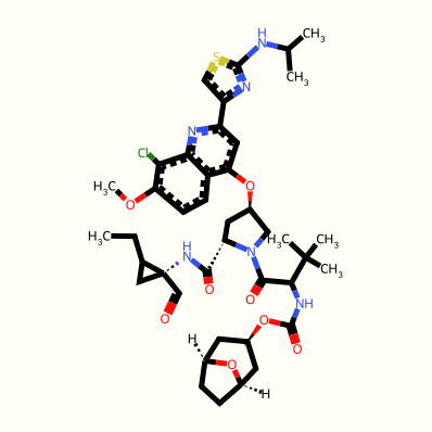 CCC1C[C@@]1(C=O)NC(=O)[C@@H]1C[C@@H](Oc2cc(-c3csc(NC(C)C)n3)nc3c(Cl)c(OC)ccc23)CN1C(=O)C(NC(=O)O[C@H]1C[C@H]2CC[C@@H](C1)O2)C(C)(C)C